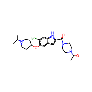 CC(=O)N1CCN(C(=O)c2cc3cc(OC4CCN(C(C)C)CC4)c(Br)cc3[nH]2)CC1